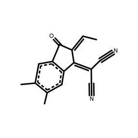 C/C=C1/C(=O)c2cc(C)c(C)cc2C1=C(C#N)C#N